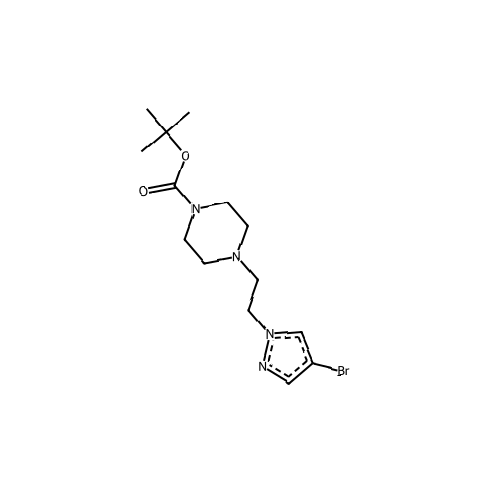 CC(C)(C)OC(=O)N1CCN(CCn2cc(Br)cn2)CC1